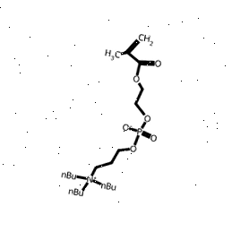 C=C(C)C(=O)OCCOP(=O)([O-])OCCC[N+](CCCC)(CCCC)CCCC